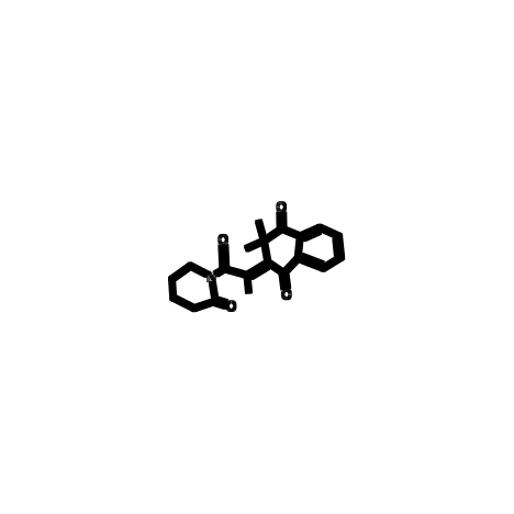 C/C(C(=O)N1CCCCC1=O)=C1\C(=O)c2ccccc2C(=O)C1(C)C